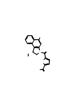 O=C(O)c1ccc(C(=O)N2C[C@H](CCl)c3c2cc(O)c2ccccc32)s1